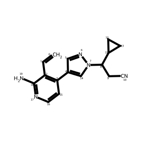 C=Cc1c(-c2cnn(C(CC#N)C3CC3)c2)ccnc1N